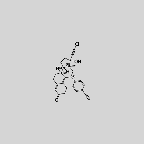 C#Cc1ccc([C@H]2C[C@]3(C)[C@@H](CCC3(O)C#CCl)[C@@H]3CCC4=CC(=O)CCC4=C32)cc1